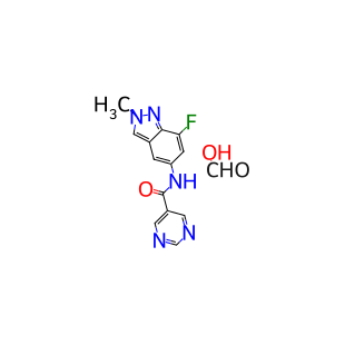 Cn1cc2cc(NC(=O)c3cncnc3)cc(F)c2n1.O=CO